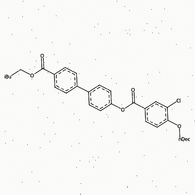 CCCCCCCCCCOc1ccc(C(=O)Oc2ccc(-c3ccc(C(=O)OCC(C)CC)cc3)cc2)cc1Cl